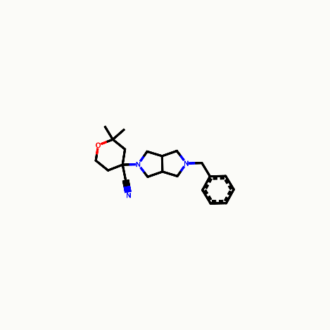 CC1(C)CC(C#N)(N2CC3CN(Cc4ccccc4)CC3C2)CCO1